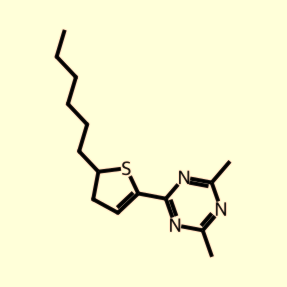 CCCCCCC1CC=C(c2nc(C)nc(C)n2)S1